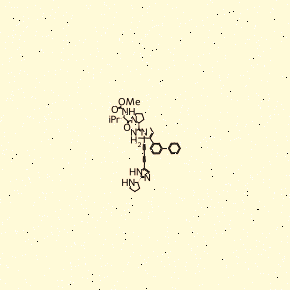 CC=C(c1cccc(-c2ccccc2)c1)C(C)(C#CC#Cc1cnc([C@@H]2CCCN2)[nH]1)/N=C(\N)[C@@H]1CCCN1C(=O)[C@@H](NC(=O)OC)C(C)C